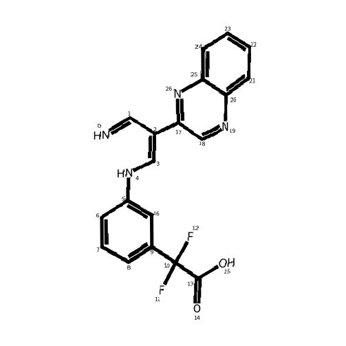 N=C/C(=C\Nc1cccc(C(F)(F)C(=O)O)c1)c1cnc2ccccc2n1